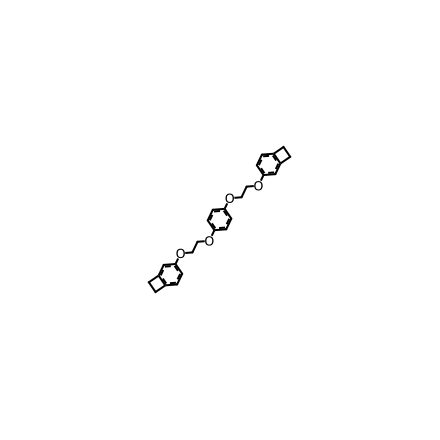 c1cc(OCCOc2ccc3c(c2)CC3)ccc1OCCOc1ccc2c(c1)CC2